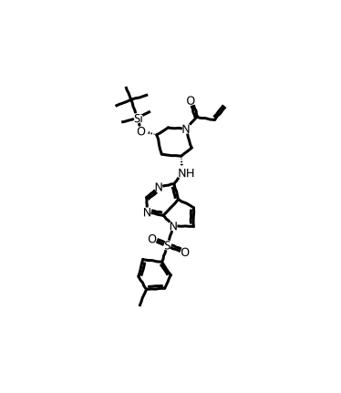 C=CC(=O)N1C[C@H](Nc2ncnc3c2ccn3S(=O)(=O)c2ccc(C)cc2)C[C@H](O[Si](C)(C)C(C)(C)C)C1